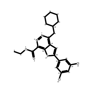 CCOC(=O)c1nnc(CC2CCCCC2)c2cc(-c3cc(Cl)cc(Cl)c3)sc12